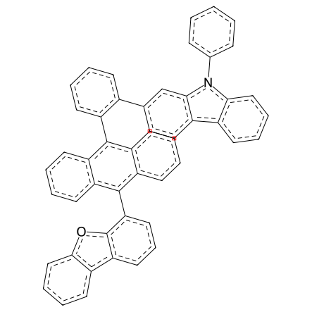 c1ccc(-n2c3ccccc3c3ccc(-c4ccccc4-c4c5ccccc5c(-c5cccc6c5oc5ccccc56)c5ccccc45)cc32)cc1